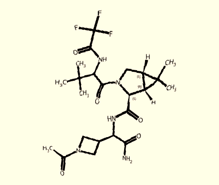 CC(=O)N1CC(C(NC(=O)[C@@H]2[C@@H]3[C@H](CN2C(=O)C(NC(=O)C(F)(F)F)C(C)(C)C)C3(C)C)C(N)=O)C1